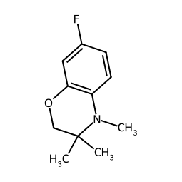 CN1c2ccc(F)cc2OCC1(C)C